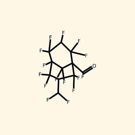 O=C(F)C12C(F)(F)C(F)C(F)(F)C(F)(C(F)(F)C(C(F)F)C1(F)F)C2(F)F